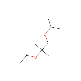 C[CH]OC(C)(C)COC(C)C